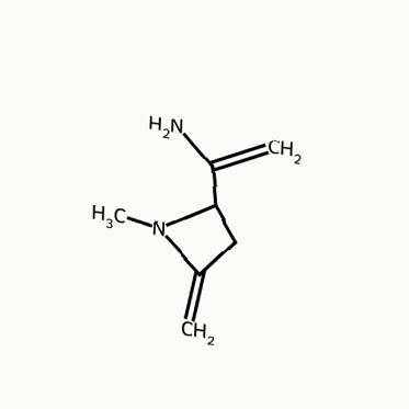 C=C(N)C1CC(=C)N1C